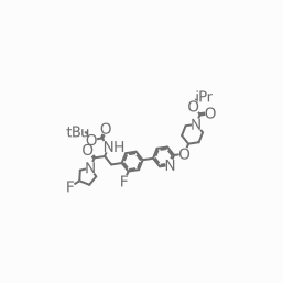 CC(C)OC(=O)N1CCC(Oc2ccc(-c3ccc(CC(NC(=O)OC(C)(C)C)C(=O)N4CCC(F)C4)c(F)c3)cn2)CC1